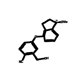 CO[C@@H]1CCc2c(Oc3ccc(C#N)c(CO)c3)cccc21